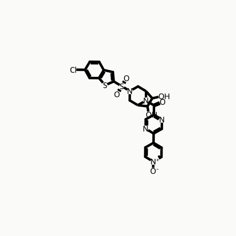 O=C(c1cnc(-c2cc[n+]([O-])cc2)cn1)N1C2CN(S(=O)(=O)c3cc4ccc(Cl)cc4s3)CC1C(O)C2O